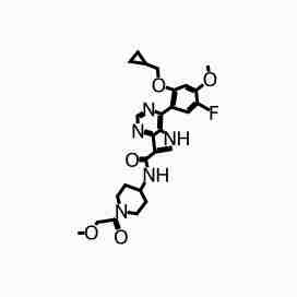 COCC(=O)N1CCC(NC(=O)c2c[nH]c3c(-c4cc(F)c(OC)cc4OCC4CC4)ncnc23)CC1